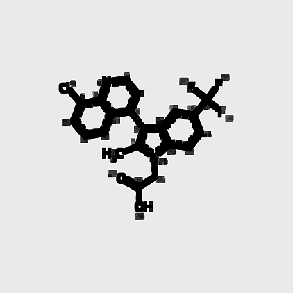 Cc1c(-c2ccnc3c(Cl)cccc23)c2cc(C(F)(F)F)ccc2n1CC(=O)O